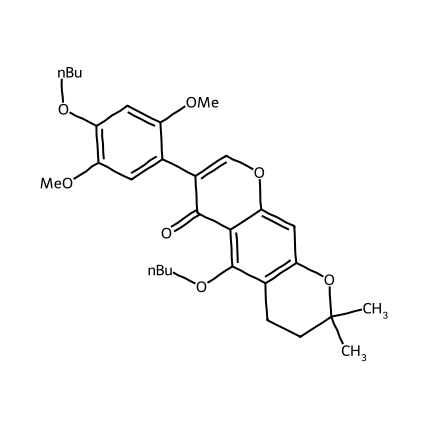 CCCCOc1cc(OC)c(-c2coc3cc4c(c(OCCCC)c3c2=O)CCC(C)(C)O4)cc1OC